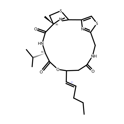 CCC/C=C/C1CC(=O)NCc2nc(cs2)C2=N[C@@](C)(CS2)C(=O)N[C@@H](C(C)C)C(=O)O1